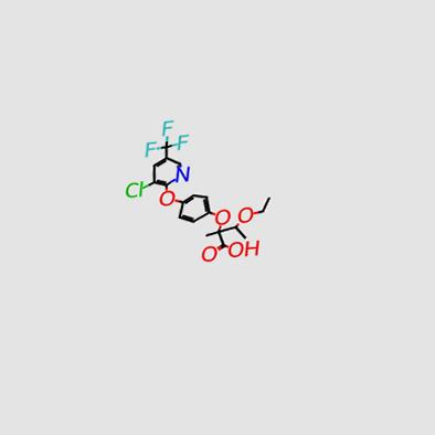 CCOC(C)C(C)(Oc1ccc(Oc2ncc(C(F)(F)F)cc2Cl)cc1)C(=O)O